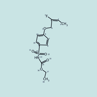 C/C=C(/F)COc1ccc(S(=O)(=O)NC(=O)OCC)cc1